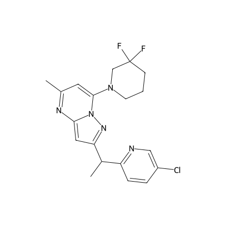 Cc1cc(N2CCCC(F)(F)C2)n2nc(C(C)c3ccc(Cl)cn3)cc2n1